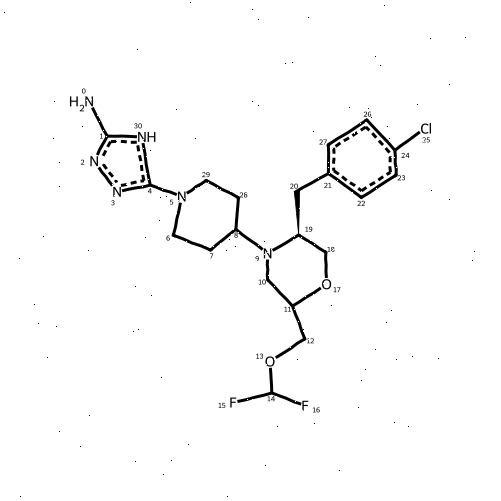 Nc1nnc(N2CCC(N3CC(COC(F)F)OC[C@@H]3Cc3ccc(Cl)cc3)CC2)[nH]1